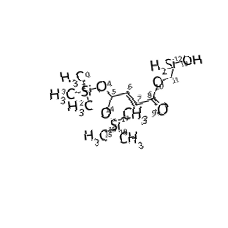 C[Si](C)(C)OC(C=CC(=O)OC[SiH2]O)O[Si](C)(C)C